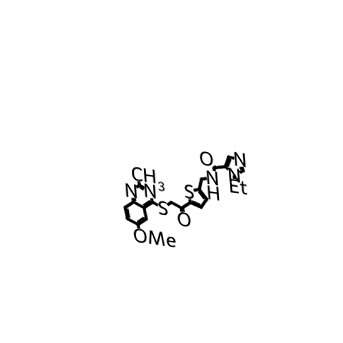 CCn1cncc1C(=O)NCc1ccc(C(=O)CSc2nc(C)nc3ccc(OC)cc23)s1